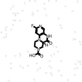 O=C1Nc2cnc(F)cc2N2CCN(C(=O)O)C[C@@H]12